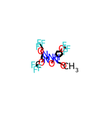 COCCN(C(=O)Nc1nc(OCC(F)(F)F)cc(OCC(F)(F)F)n1)c1ccc(OC(F)(F)F)cc1